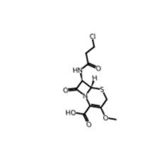 COC1=C(C(=O)O)N2C(=O)[C@@H](NC(=O)CCCl)[C@@H]2SC1